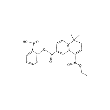 CCOC(=O)C1=CCC(C)(C)c2ccc(C(=O)Oc3ccccc3C(=O)O)cc21